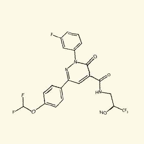 O=C(NCC(O)C(F)(F)F)c1cc(-c2ccc(OC(F)F)cc2)nn(-c2cccc(F)c2)c1=O